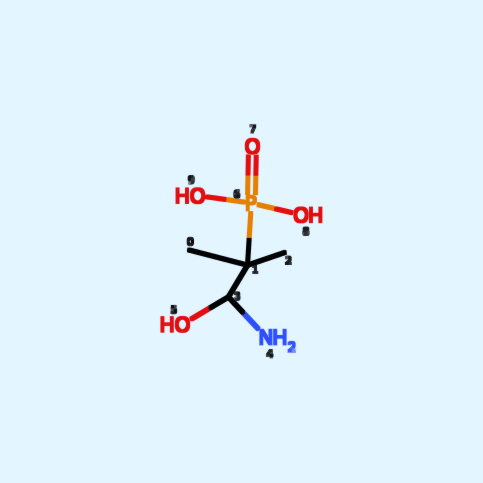 CC(C)(C(N)O)P(=O)(O)O